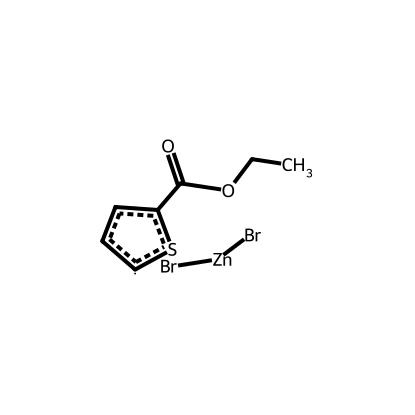 CCOC(=O)c1cc[c]s1.[Br][Zn][Br]